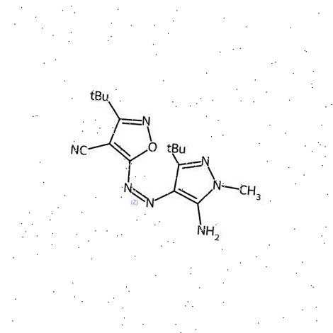 Cn1nc(C(C)(C)C)c(/N=N\c2onc(C(C)(C)C)c2C#N)c1N